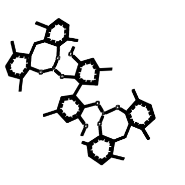 COc1cc(C)cc(-c2cc(C)cc(OC)c2OP2Oc3c(C)ccc(C)c3Cc3c(C)ccc(C)c3O2)c1OP1Oc2c(C)ccc(C)c2Cc2c(C)ccc(C)c2O1